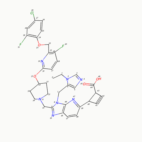 CCn1cncc1Cn1c(CN2CCC(Oc3ccc(F)c(COc4ccc(Cl)cc4F)n3)CC2)nc2ccc(C3C#CC3C(=O)O)nc21